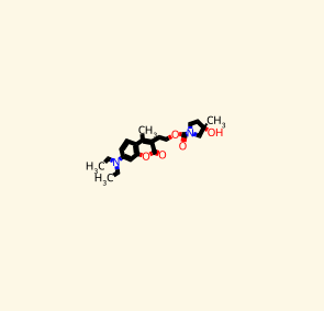 CCN(CC)c1ccc2c(C)c(CCOC(=O)N3CC[C@](C)(O)C3)c(=O)oc2c1